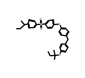 CCC(C)c1ccc(S(=O)(=O)c2ccc(Oc3ccc(Cc4ccc(OC(C)(C)CC)cc4)cc3)cc2)cc1